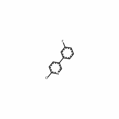 Fc1cccc(-c2ccc(Cl)nc2)c1